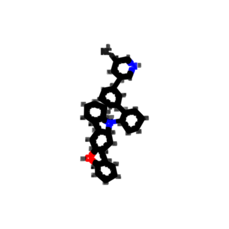 N#Cc1cncc(-c2cccc(-c3ccccc3-n3c4ccccc4c4cc5oc6ccccc6c5cc43)c2)c1